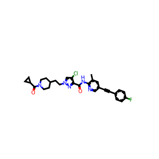 Cc1cc(C#Cc2ccc(F)cc2)cnc1NC(=O)c1nn(CCC2CCN(C(=O)C3CC3)CC2)cc1Cl